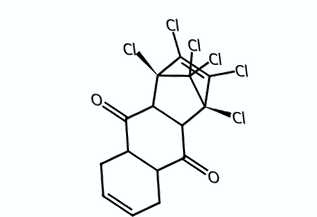 O=C1C2CC=CCC2C(=O)C2C1[C@]1(Cl)C(Cl)=C(Cl)[C@@]2(Cl)C1(Cl)Cl